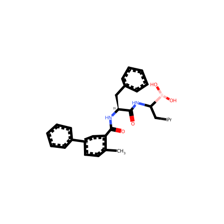 Cc1ccc(-c2ccccc2)cc1C(=O)N[C@@H](Cc1ccccc1)C(=O)NC(CC(C)C)B(O)O